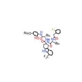 CCC(C)[C@H](NC(=O)Cc1ccccc1F)C(=O)N[C@]1(C(=O)NC(C(=O)Nc2ccc(OC)cc2O)[C@@H](C)CC)CCc2[nH]c3c(C(F)(F)F)cccc3c2C1